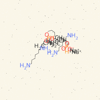 C=C.C=C.C=C.C=C.NCCCCCCN.NCCCCCCN.O=[PH]([O-])[O-].O=[PH]1OCCCCO1.[Na+].[Na+]